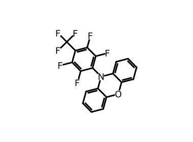 Fc1c(F)c(C(F)(F)F)c(F)c(F)c1N1c2ccccc2Oc2ccccc21